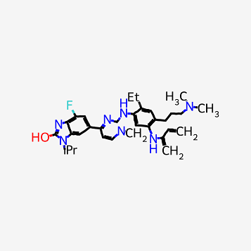 C=CC(=C)Nc1cc(NC/N=C(\C=C/N=C)c2cc(F)c3nc(O)n(C(C)C)c3c2)c(CC)cc1CCCN(C)C